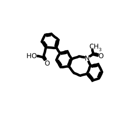 CC(=O)N1Cc2cc(-c3ccccc3C(=O)O)ccc2CCc2ccccc21